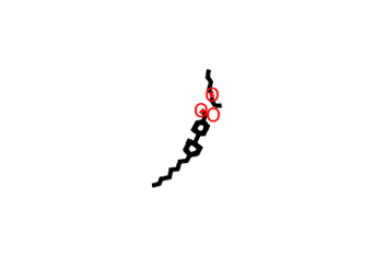 CCCCCCCCc1ccc(-c2ccc(C(=O)OC(C)COCCCC)cc2)cc1